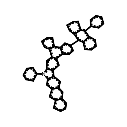 c1ccc(-c2c3ccccc3c(-c3ccc4c(c3)c3ccccc3c3cc5c(cc43)c3cc4cc6ccccc6cc4cc3n5-c3ccccc3)c3ccccc23)cc1